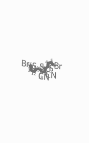 N#Cc1c(-c2ccc(Br)s2)sc(-c2ccc(Br)s2)c1C#N